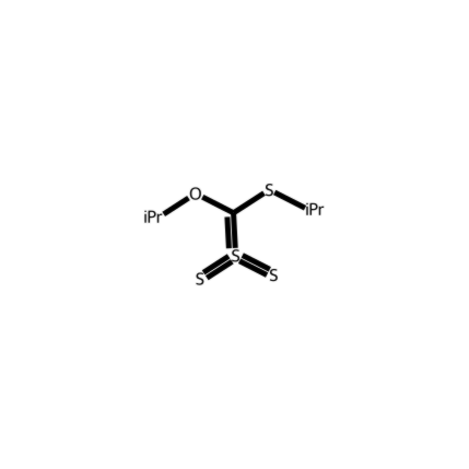 CC(C)OC(SC(C)C)=S(=S)=S